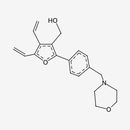 C=Cc1oc(-c2ccc(CN3CCOCC3)cc2)c(CO)c1C=C